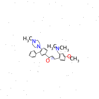 COc1ccc(/C=C/C(=O)c2ccc(N3CCN(C)CC3)c(-c3ccccc3)c2)c(CN(C)C)c1